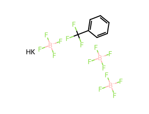 FC(F)(F)c1ccccc1.F[B-](F)(F)F.F[B-](F)(F)F.F[B-](F)(F)F.[KH]